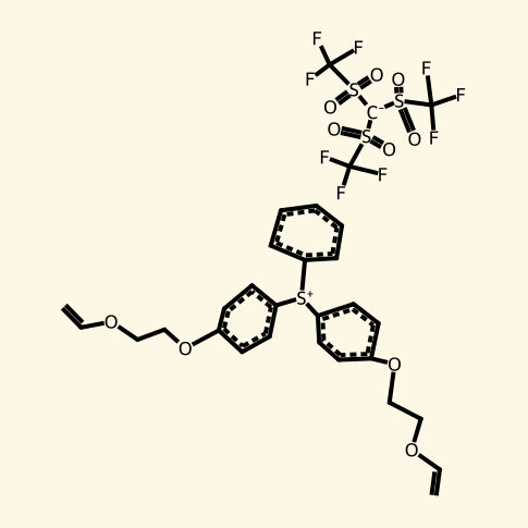 C=COCCOc1ccc([S+](c2ccccc2)c2ccc(OCCOC=C)cc2)cc1.O=S(=O)([C-](S(=O)(=O)C(F)(F)F)S(=O)(=O)C(F)(F)F)C(F)(F)F